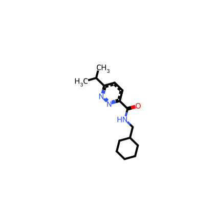 CC(C)c1ccc(C(=O)NCC2CCCCC2)nn1